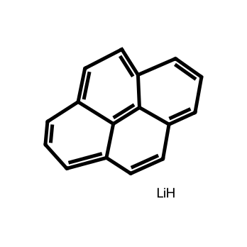 [LiH].c1cc2ccc3cccc4ccc(c1)c2c34